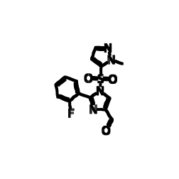 Cn1nccc1S(=O)(=O)n1cc(C=O)nc1-c1ccccc1F